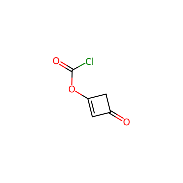 O=C1C=C(OC(=O)Cl)C1